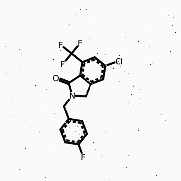 O=C1c2c(cc(Cl)cc2C(F)(F)F)CN1Cc1ccc(F)cc1